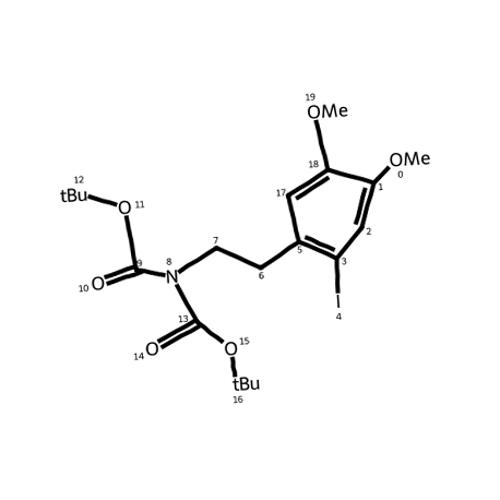 COc1cc(I)c(CCN(C(=O)OC(C)(C)C)C(=O)OC(C)(C)C)cc1OC